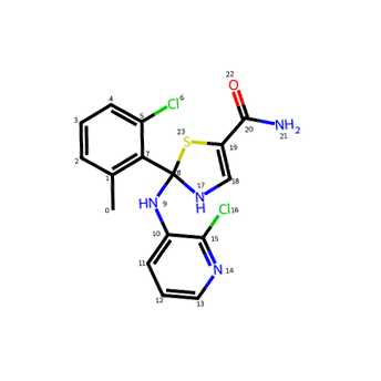 Cc1cccc(Cl)c1C1(Nc2cccnc2Cl)NC=C(C(N)=O)S1